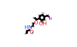 C=CC(=O)NCCOC(=C)c1ccc(CI)cc1O